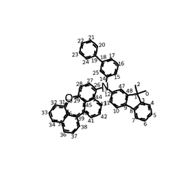 CC1(C)c2ccccc2-c2ccc(N(c3cccc(-c4ccccc4)c3)c3ccc4oc5cccc6cccc(c7cccc3c47)c65)cc21